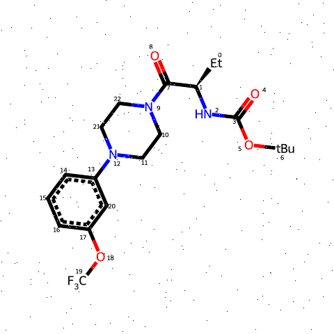 CC[C@@H](NC(=O)OC(C)(C)C)C(=O)N1CCN(c2cccc(OC(F)(F)F)c2)CC1